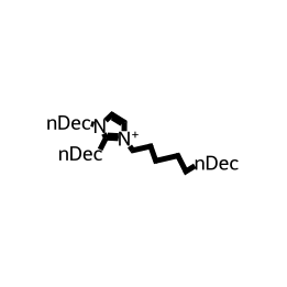 CCCCCCCCCCCCCCC[n+]1ccn(CCCCCCCCCC)c1CCCCCCCCCC